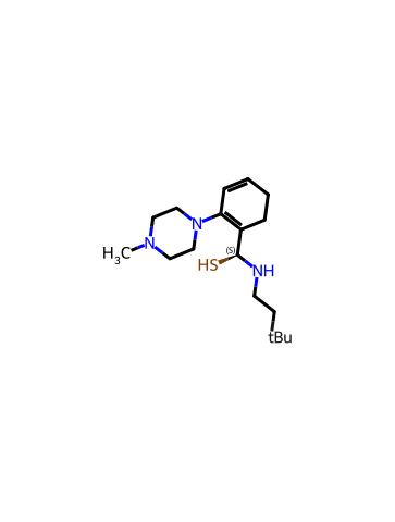 CN1CCN(C2=C([C@H](S)NCCC(C)(C)C)CCC=C2)CC1